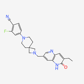 CCc1cc2ncc(CN3CC4(CCN(c5ccc(C#N)c(F)c5)CC4)C3)cc2[nH]c1=O